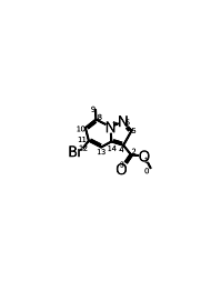 COC(=O)c1cnn2c(C)cc(Br)cc12